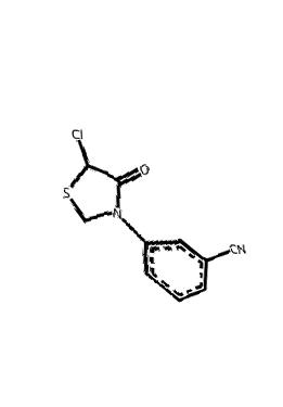 N#Cc1cccc(N2CSC(Cl)C2=O)c1